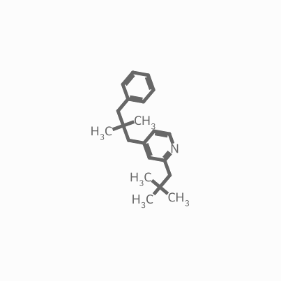 CC(C)(C)Cc1cc(CC(C)(C)Cc2ccccc2)ccn1